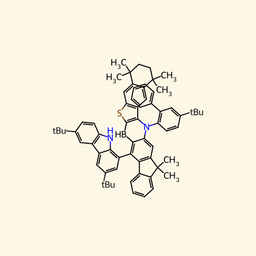 CC(C)(C)c1ccc(N2c3cc4c(c(-c5cc(C(C)(C)C)cc6c5[nH]c5ccc(C(C)(C)C)cc56)c3Bc3sc5cc6c(cc5c32)C(C)(C)CCC6(C)C)-c2ccccc2C4(C)C)c(-c2ccccc2)c1